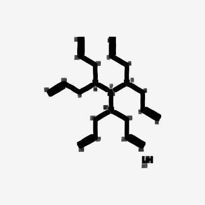 C=CC[N](CC=C)[Al]([N](CC=C)CC=C)[N](CC=C)CC=C.[LiH]